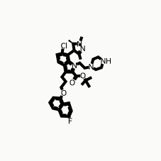 CC1=NN(C)[C@H](C)C1c1c(Cl)ccc2c(CCCOc3cccc4cc(F)ccc34)c(C(=O)OC(C)(C)C)n(CCN3CCNCC3)c12